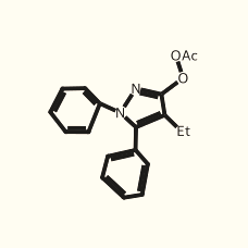 CCc1c(OOC(C)=O)nn(-c2ccccc2)c1-c1ccccc1